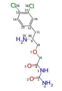 NC(=O)NC(=O)COC[C@H](N)Cc1ccc(Cl)c(Cl)c1